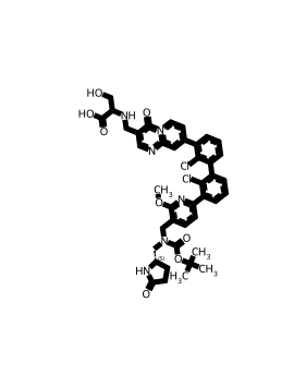 COc1nc(-c2cccc(-c3cccc(-c4ccn5c(=O)c(CNC(CO)C(=O)O)cnc5c4)c3Cl)c2Cl)ccc1CN(C[C@@H]1CCC(=O)N1)C(=O)OC(C)(C)C